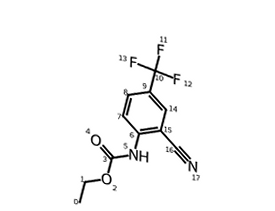 CCOC(=O)Nc1ccc(C(F)(F)F)cc1C#N